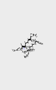 CC(C)=CCC/C(C)=C/C(=O)[O-].CCC[N+](CCC)(CCC)CCCCCO